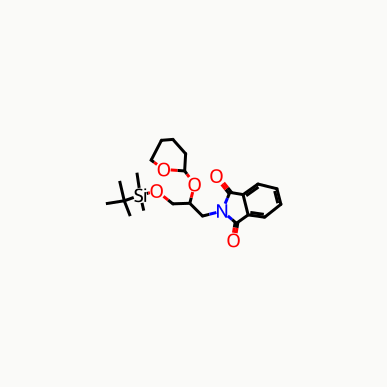 CC(C)(C)[Si](C)(C)OCC(CN1C(=O)c2ccccc2C1=O)OC1CCCCO1